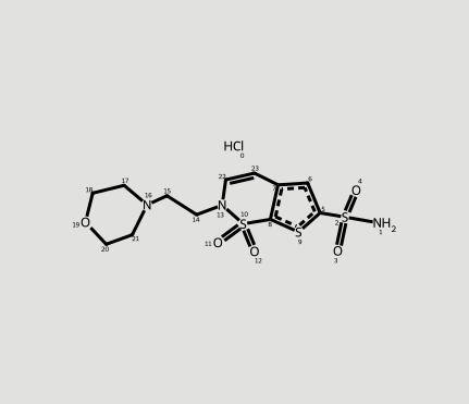 Cl.NS(=O)(=O)c1cc2c(s1)S(=O)(=O)N(CCN1CCOCC1)C=C2